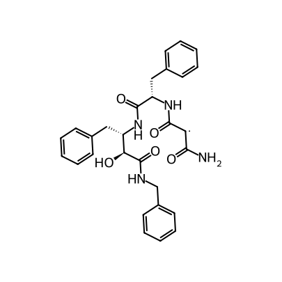 NC(=O)[CH]C(=O)N[C@@H](Cc1ccccc1)C(=O)N[C@@H](Cc1ccccc1)[C@H](O)C(=O)NCc1ccccc1